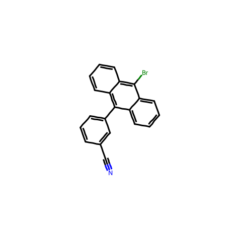 N#Cc1cccc(-c2c3ccccc3c(Br)c3ccccc23)c1